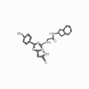 CC(C)(C)c1ccc(-c2nc(NCC(=O)NC3Cc4ccccc4C3)n3[nH]c(=O)cc3n2)cc1